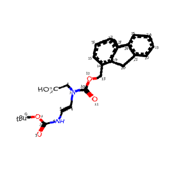 CC(C)(C)OC(=O)NCCN(CC(=O)O)C(=O)OCc1cccc2c1Cc1ccccc1-2